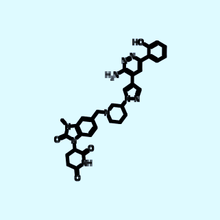 Cn1c(=O)n(C2CCC(=O)NC2=O)c2ccc(CN3CCCC(n4cc(-c5cc(-c6ccccc6O)nnc5N)cn4)C3)cc21